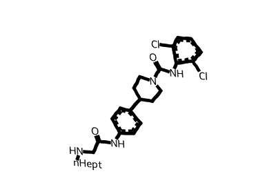 CCCCCCCNCC(=O)Nc1ccc(C2CCN(C(=O)Nc3c(Cl)cccc3Cl)CC2)cc1